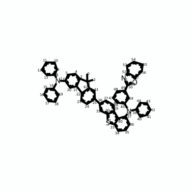 CC1(C)c2ccc(N(c3ccccc3)c3ccccc3)cc2-c2ccc(-c3ccc4c(c3)sc3cccc(N(c5ccccc5)c5cccc(-c6nc7ccccc7o6)c5)c34)cc21